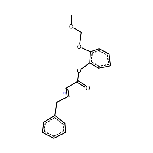 COCOc1ccccc1OC(=O)/C=C/Cc1ccccc1